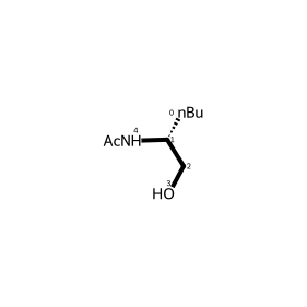 CCCC[C@H](CO)NC(C)=O